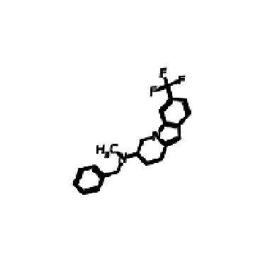 CN(Cc1ccccc1)C1CCc2cc3ccc(C(F)(F)F)cc3n2C1